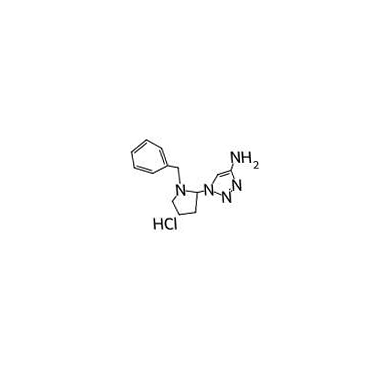 Cl.Nc1cn(C2CCCN2Cc2ccccc2)nn1